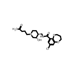 CC(=O)CCCN1CC[C@@H](CNC(=O)c2cc(Cl)cc3c2OCCCO3)[C@H](O)C1